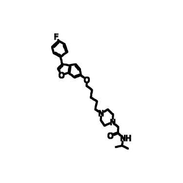 CC(C)NC(=O)CN1CCN(CCCCCOc2ccc3c(-c4ccc(F)cc4)coc3c2)CC1